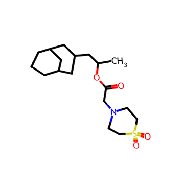 CC(CC1CC2CCCC(C2)C1)OC(=O)CN1CCS(=O)(=O)CC1